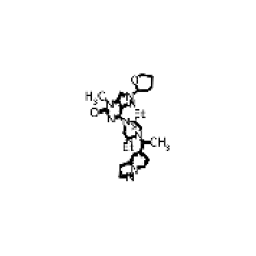 CC[C@H]1CN(C(C)c2ccn3nccc3c2)[C@H](CC)CN1c1nc(=O)n(C)c2cn(C3CCCCO3)nc12